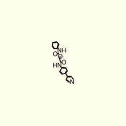 O=C(COC(=O)Nc1ccccc1)Nc1ccc(-c2ccncc2)cc1